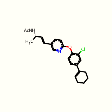 CC(=O)N[C@@H](C)/C=C/c1ccc(Oc2ccc(C3=CCCCC3)cc2Cl)nc1